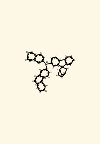 c1ccc2c(c1)-c1ccc(N(c3ccc4ccccc4c3)c3ccc4c(ccc5ccccc54)c3)cc1C21CC2CCC1C2